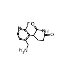 NCc1ccnc(F)c1C1CCC(=O)NC1=O